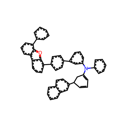 C1=CC(c2ccc3ccccc3c2)CC(N(c2ccccc2)c2cccc(-c3ccc(-c4cccc5c4oc4c(-c6ccccc6)cccc45)cc3)c2)=C1